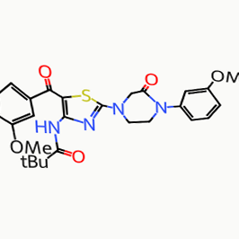 COc1cccc(C(=O)c2sc(N3CCN(c4cccc(OC)c4)C(=O)C3)nc2NC(=O)C(C)(C)C)c1